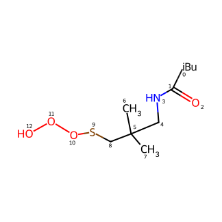 CCC(C)C(=O)NCC(C)(C)CSOOO